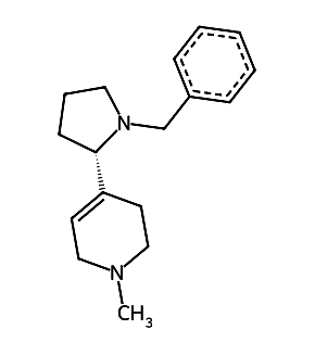 CN1CC=C([C@@H]2CCCN2Cc2ccccc2)CC1